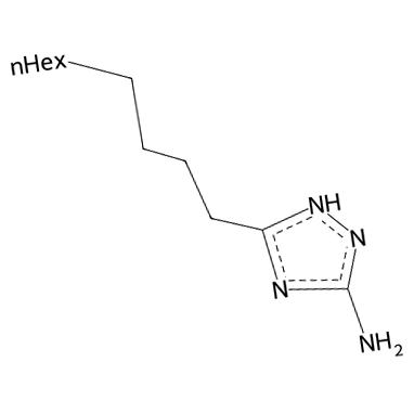 CCCCCCCCCCc1nc(N)n[nH]1